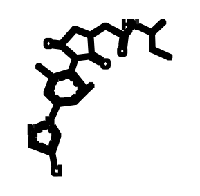 CCC(C)NC(=O)CC1CC(=O)C(c2c(C)cc(-n3cc(Cl)cn3)cc2C)C1=O